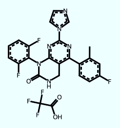 Cc1cc(F)ccc1-c1nc(-n2ccnc2)nc2c1CNC(=O)N2c1c(F)cccc1F.O=C(O)C(F)(F)F